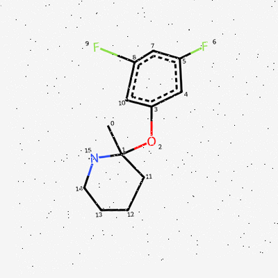 CC1(Oc2cc(F)cc(F)c2)CCCC[N]1